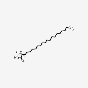 CCCCCCCCCCCCCCCCCC/C=C(\C)C(=O)O